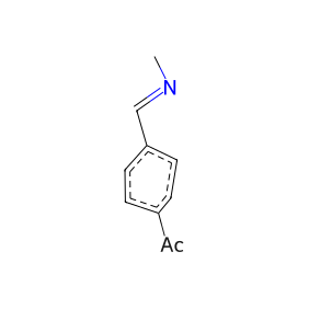 C/N=C/c1ccc(C(C)=O)cc1